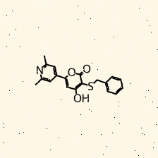 Cc1cc(-c2cc(O)c(SCc3ccccc3)c(=O)o2)cc(C)n1